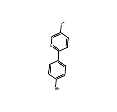 CC(C)c1ccc(-c2ccc(C(C)(C)C)cc2)nc1